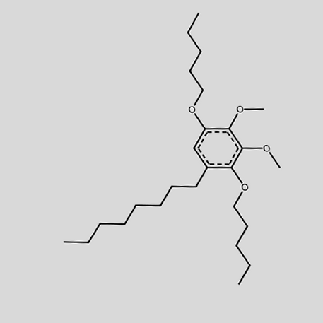 CCCCCCCCc1cc(OCCCCC)c(OC)c(OC)c1OCCCCC